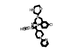 Cl.Cl.Cl.Clc1ccc2c(c1)CN(C1CNCCOC1)Cc1nnc(C3CCN(c4ccccn4)CC3)n1-2